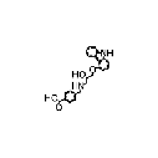 O=C(O)c1ccc(CNCC(O)COc2cccc3[nH]c4ccccc4c23)cc1